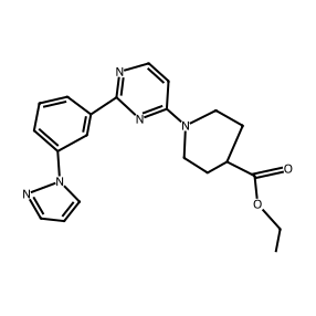 CCOC(=O)C1CCN(c2ccnc(-c3cccc(-n4cccn4)c3)n2)CC1